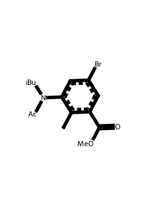 CCC(C)N(C(C)=O)c1cc(Br)cc(C(=O)OC)c1C